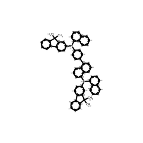 CC1(C)c2ccccc2-c2ccc(N(c3ccc(-c4cccc5c(N(c6ccc7c(c6)C(C)(C)c6ccccc6-7)c6cccc7ccccc67)cccc45)cc3)c3cccc4ccccc34)cc21